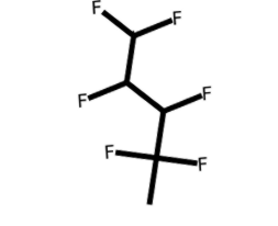 CC(F)(F)C(F)C(F)[C](F)F